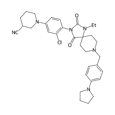 CCN1C(=O)N(c2ccc(N3CCCC(C#N)C3)cc2Cl)C(=O)C12CCN(Cc1ccc(N3CCCC3)cc1)CC2